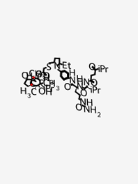 CCC1CCC(CSCC(=O)O[C@@H]2C[C@@](C)(C(C)C)[C@@H](O)[C@H](C)[C@]34CCC(=O)[C@H]3[C@@]2(C)[C@H](C)CC4)N1Cc1ccc(NC(=O)[C@H](CCCNC(N)=O)NC(=O)[C@@H](NC(=O)CCC(=O)C(C)C)C(C)C)cc1